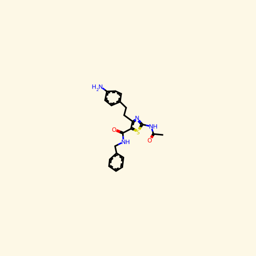 CC(=O)Nc1nc(CCc2ccc(N)cc2)c(C(=O)NCc2ccccc2)s1